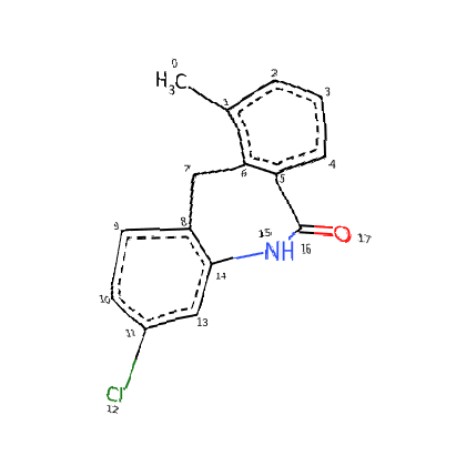 Cc1cccc2c1Cc1ccc(Cl)cc1NC2=O